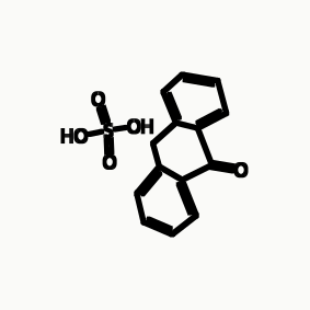 O=C1c2ccccc2Cc2ccccc21.O=S(=O)(O)O